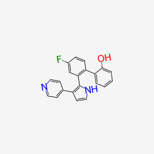 Oc1ccccc1-c1ccc(F)cc1-c1[nH]ccc1-c1ccncc1